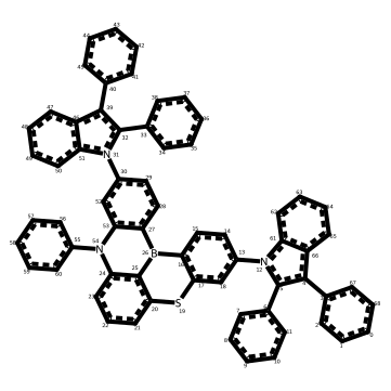 c1ccc(-c2c(-c3ccccc3)n(-c3ccc4c(c3)Sc3cccc5c3B4c3ccc(-n4c(-c6ccccc6)c(-c6ccccc6)c6ccccc64)cc3N5c3ccccc3)c3ccccc23)cc1